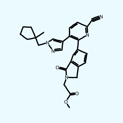 COC(=O)CN1Cc2ccc(-c3nc(C#N)ccc3-c3cnn(CC4(C)CCCC4)c3)cc2C1=O